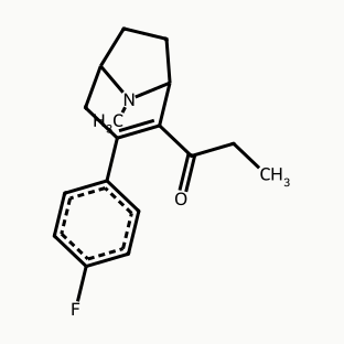 CCC(=O)C1=C(c2ccc(F)cc2)CC2CCC1N2C